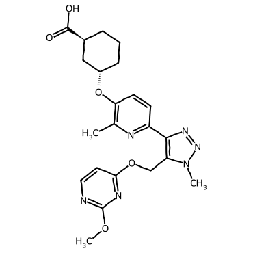 COc1nccc(OCc2c(-c3ccc(O[C@H]4CCC[C@H](C(=O)O)C4)c(C)n3)nnn2C)n1